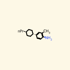 CCC[C@H]1CC[C@H](c2ccc(N)c(C)c2)CC1